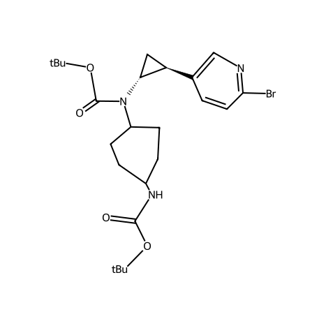 CC(C)(C)OC(=O)NC1CCC(N(C(=O)OC(C)(C)C)[C@@H]2C[C@H]2c2ccc(Br)nc2)CC1